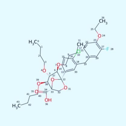 CCCCO[C@@H]1[C@@H](OCCCC)[C@@]2(c3ccc(Cl)c(Cc4ccc(OCC)c(F)c4)c3)OC[C@](C(=O)O)(O2)[C@H]1OCCCC